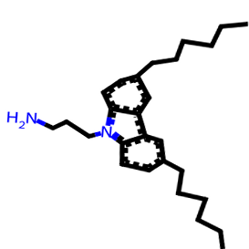 CCCCCCc1ccc2c(c1)c1cc(CCCCCC)ccc1n2CCCN